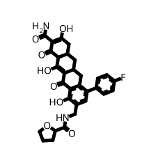 NC(=O)C1=C(O)CC2CC3Cc4c(-c5ccc(F)cc5)cc(CNC(=O)C5CCCO5)c(O)c4C(=O)C3=C(O)C2C1=O